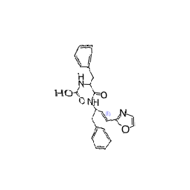 O=C(O)NC(Cc1ccccc1)C(=O)NC(/C=C/c1ncco1)Cc1ccccc1